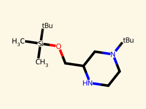 CC(C)(C)N1CCNC(CO[Si](C)(C)C(C)(C)C)C1